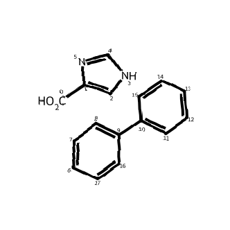 O=C(O)c1c[nH]cn1.c1ccc(-c2ccccc2)cc1